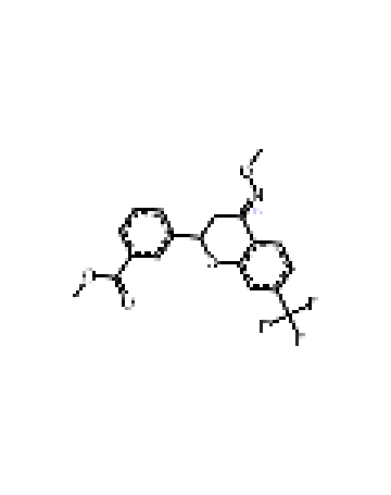 CO/N=C1\CC(c2cccc(C(=O)OC)c2)Oc2cc(C(F)(F)F)ccc21